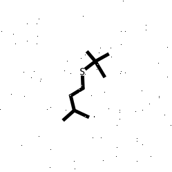 CC(C)CCSC(C)(C)C